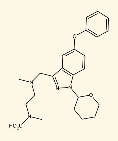 CN(CCN(C)C(=O)O)Cc1nn(C2CCCCO2)c2ccc(Oc3ccccc3)cc12